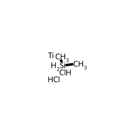 C[SiH2]C.Cl.Cl.[Ti]